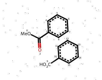 COC(=O)c1ccccc1.O=C(O)c1ccccc1